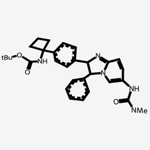 CNC(=O)NC1=CN2C(=NC(c3ccc(C4(NC(=O)OC(C)(C)C)CCC4)cc3)C2c2ccccc2)C=C1